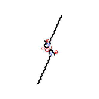 CCCCCCCCCCCCCCCCCCn1cc(Oc2cn(CCCCCCCCCCCCCCCCCC)c(C(C)=O)cc2=O)c(=O)cc1C(C)=O